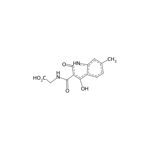 Cc1ccc2c(O)c(C(=O)NCC(=O)O)c(=O)[nH]c2c1